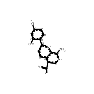 CC(=O)c1cnc(N)c2nc(-c3ccc(Cl)cc3Cl)ccc12